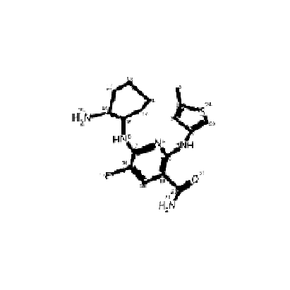 Cc1cc(Nc2nc(NC3CCCC[C@@H]3N)c(F)cc2C(N)=O)cs1